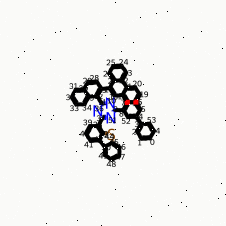 c1ccc(-c2cccc(-c3nc(-c4c(-c5cc6ccccc6c6ccccc56)ccc5ccccc45)nc(-c4cccc5c4sc4ccccc45)n3)c2)cc1